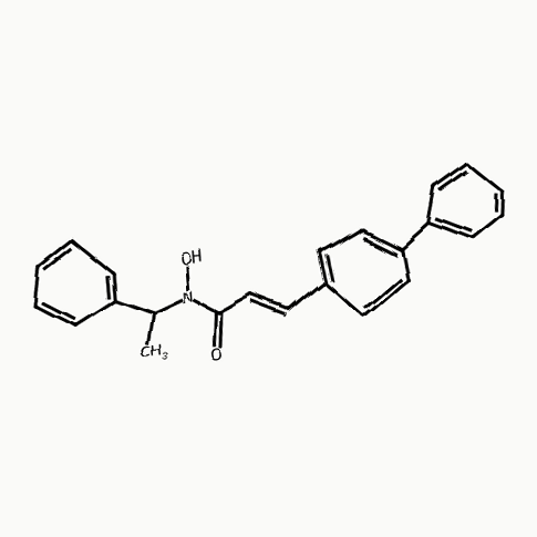 CC(c1ccccc1)N(O)C(=O)C=Cc1ccc(-c2ccccc2)cc1